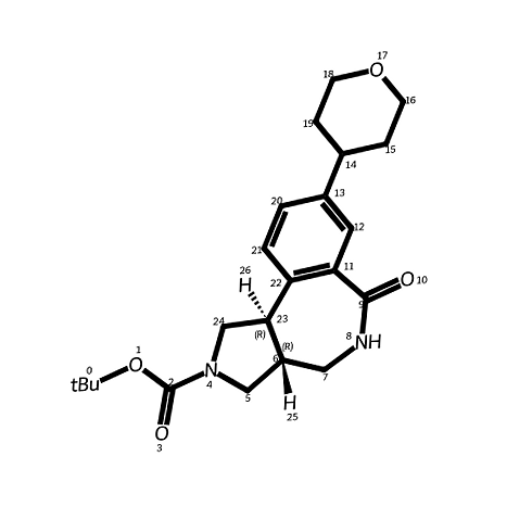 CC(C)(C)OC(=O)N1C[C@H]2CNC(=O)c3cc(C4CCOCC4)ccc3[C@@H]2C1